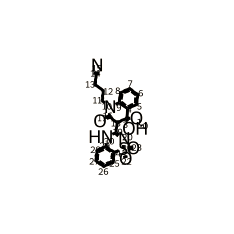 COC1(O)c2ccccc2N(CCCC#N)C(=O)C1C1=NS(=O)(=O)c2ccccc2N1